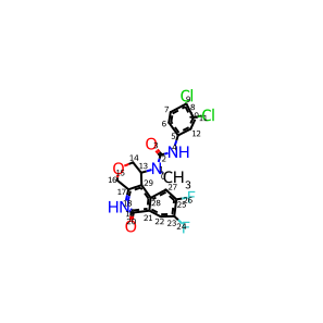 CN(C(=O)Nc1ccc(Cl)c(Cl)c1)C1COCc2[nH]c(=O)c3cc(F)c(F)cc3c21